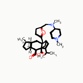 CC(C)C1=CC2CC3(C=O)[C@@H]4CC[C@@H](C)[C@H]4CC2(C2CCC(CN(C)C4CCN(C)CC4)O2)C13C(=O)O